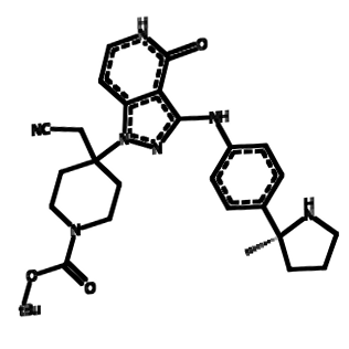 CC(C)(C)OC(=O)N1CCC(CC#N)(n2nc(Nc3ccc([C@]4(C)CCCN4)cc3)c3c(=O)[nH]ccc32)CC1